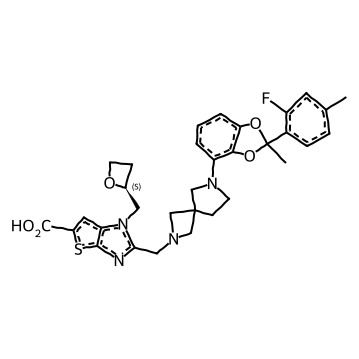 Cc1ccc(C2(C)Oc3cccc(N4CCC5(CN(Cc6nc7sc(C(=O)O)cc7n6C[C@@H]6CCO6)C5)C4)c3O2)c(F)c1